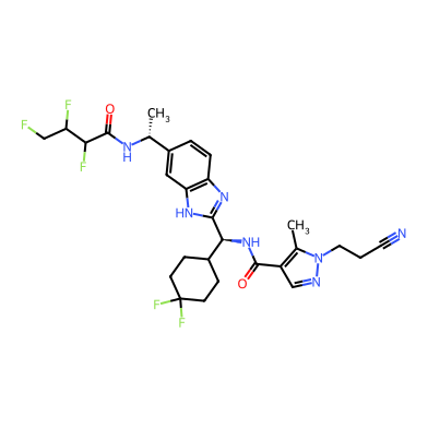 Cc1c(C(=O)N[C@H](c2nc3ccc([C@@H](C)NC(=O)C(F)C(F)CF)cc3[nH]2)C2CCC(F)(F)CC2)cnn1CCC#N